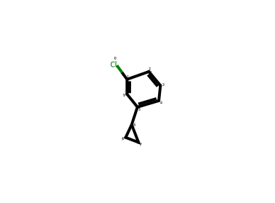 Clc1[c]ccc(C2CC2)c1